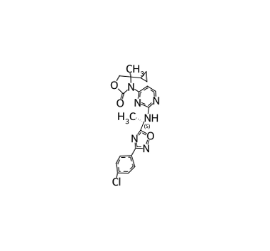 C[C@H](Nc1nccc(N2C(=O)OCC2(C)C2CC2)n1)c1nc(-c2ccc(Cl)cc2)no1